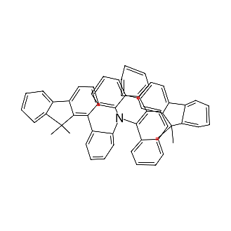 CC1(C)c2ccccc2-c2ccc(-c3ccccc3N(c3ccccc3-c3cccc4c3C(C)(C)c3ccccc3-4)c3c(-c4ccccc4)ccc4ccccc34)cc21